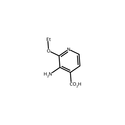 CCOc1nccc(C(=O)O)c1N